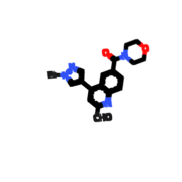 CCn1cc(-c2cc(C=O)nc3ccc(C(=O)N4CCOCC4)cc23)cn1